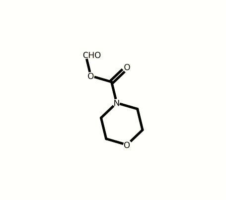 O=COC(=O)N1CCOCC1